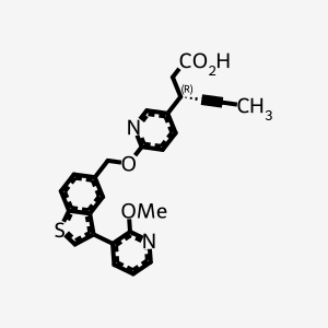 CC#C[C@@H](CC(=O)O)c1ccc(OCc2ccc3scc(-c4cccnc4OC)c3c2)nc1